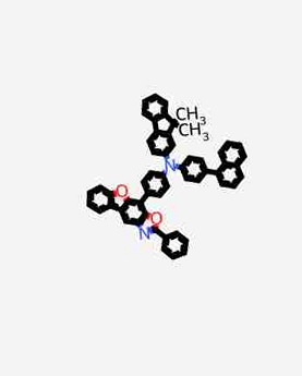 CC1(C)c2ccccc2-c2ccc(N(c3ccc(-c4cccc5ccccc45)cc3)c3ccc(-c4c5oc(-c6ccccc6)nc5cc5c4oc4ccccc45)cc3)cc21